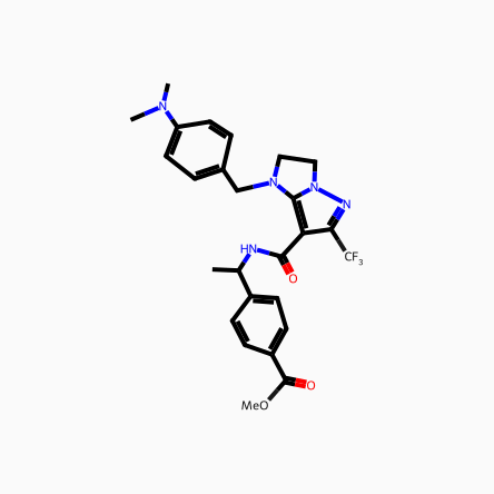 COC(=O)c1ccc(C(C)NC(=O)c2c(C(F)(F)F)nn3c2N(Cc2ccc(N(C)C)cc2)CC3)cc1